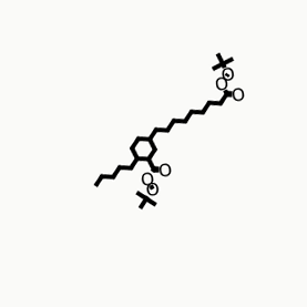 CCCCCC1CCC(CCCCCCCCC(=O)OOC(C)(C)C)CC1C(=O)OOC(C)(C)C